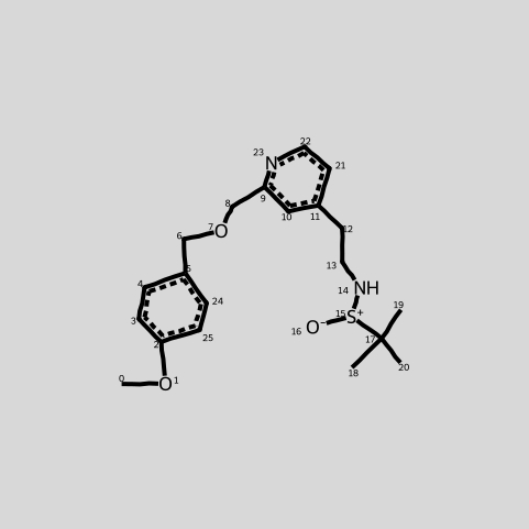 COc1ccc(COCc2cc(CCN[S+]([O-])C(C)(C)C)ccn2)cc1